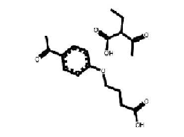 CC(=O)c1ccc(OCCCC(=O)O)cc1.CCC(C(C)=O)C(=O)O